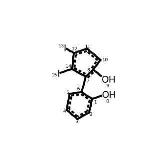 Oc1ccccc1-c1c(O)ccc(I)c1I